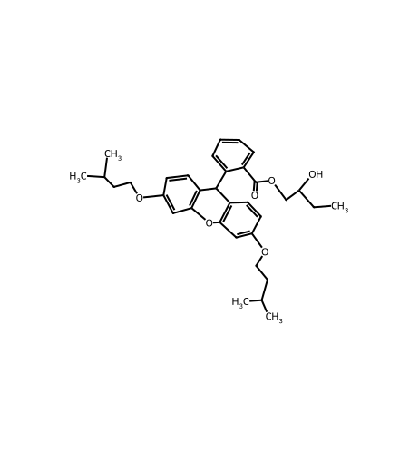 CCC(O)COC(=O)c1ccccc1C1c2ccc(OCCC(C)C)cc2Oc2cc(OCCC(C)C)ccc21